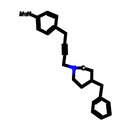 CNc1ccc(CC#CCN2CCC(Cc3ccccc3)CC2)cc1